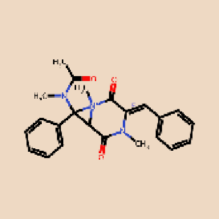 CC(=O)N(C)C1(c2ccccc2)C2C(=O)N(C)/C(=C\c3ccccc3)C(=O)[N+]21C